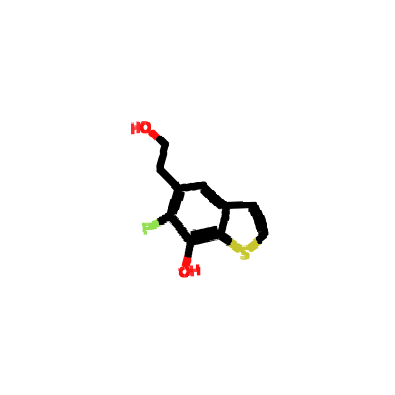 OCCc1cc2ccsc2c(O)c1F